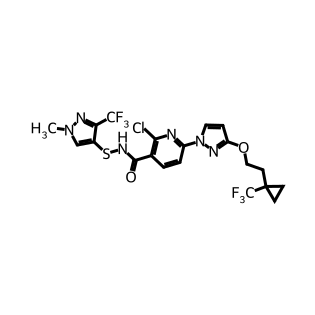 Cn1cc(SNC(=O)c2ccc(-n3ccc(OCCC4(C(F)(F)F)CC4)n3)nc2Cl)c(C(F)(F)F)n1